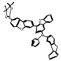 CC1(C)OB(c2ccc3oc4cc(-c5cc(N(c6ccccc6)c6ccc7sc8ccccc8c7c6)cc6c5sc5ccccc56)ccc4c3c2)OC1(C)C